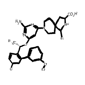 CCOc1cccc(-c2cc(Cl)ccc2[C@@H](Oc2cc(N3CCC4(CC3)CC(C(=O)O)NC4CC)nc(N)n2)C(F)(F)F)c1